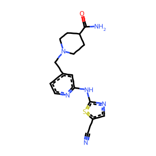 N#Cc1cnc(Nc2cc(CN3CCC(C(N)=O)CC3)ccn2)s1